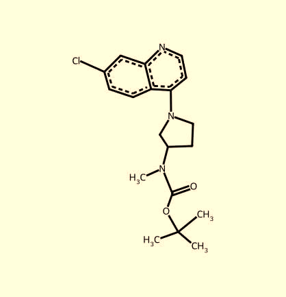 CN(C(=O)OC(C)(C)C)C1CCN(c2ccnc3cc(Cl)ccc23)C1